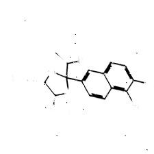 COc1ccc2cc(C3([C@@H](C)Br)O[C@@H](C(=O)O)[C@H](C(=O)O)O3)ccc2c1Br